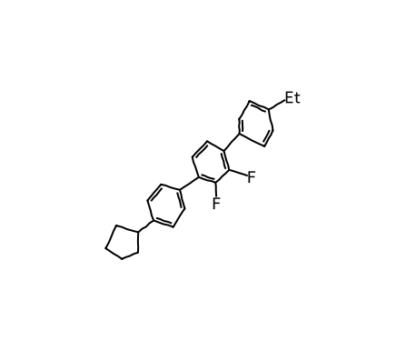 CCc1ccc(-c2ccc(-c3ccc(C4CCCC4)cc3)c(F)c2F)cc1